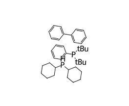 C1CCC(PC2CCCCC2)CC1.CC(C)(C)P(c1ccccc1)C(C)(C)C.c1ccc(-c2ccccc2)cc1